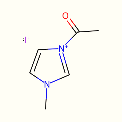 CC(=O)[n+]1ccn(C)c1.[I+]